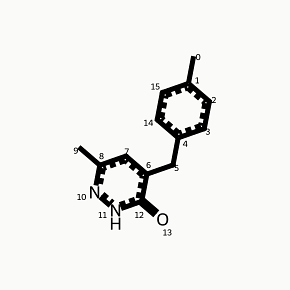 Cc1ccc(Cc2cc(C)n[nH]c2=O)cc1